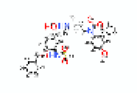 CCC1(CC)OC(=O)N(CCC(C)(C)NCC(O)c2ccc(OCc3ccccc3)c(NS(C)(=O)=O)c2)c2ccc(OC)cc21